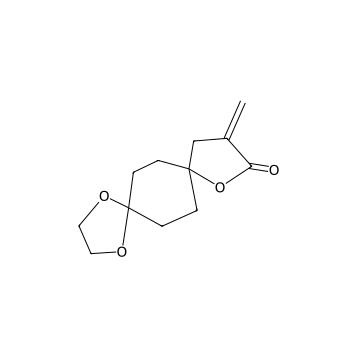 C=C1CC2(CCC3(CC2)OCCO3)OC1=O